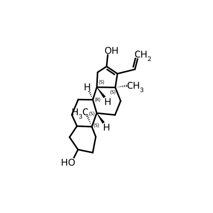 C=CC1=C(O)C[C@H]2[C@@H]3CCC4CC(O)CC[C@]4(C)[C@H]3CC[C@]12C